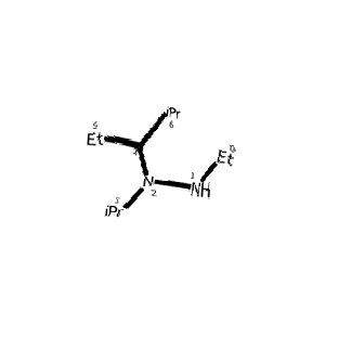 CCNN(C(C)C)C(CC)C(C)C